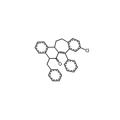 O=C1C2=C(c3ccccc3)c3cc(Cl)ccc3CCC2c2ccccc2C1Cc1ccccc1